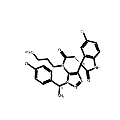 COCCCN1C(=O)C[C@]2(C(=O)Nc3ccc(Cl)cc32)c2nnn([C@@H](C)c3ccc(Cl)cc3)c21